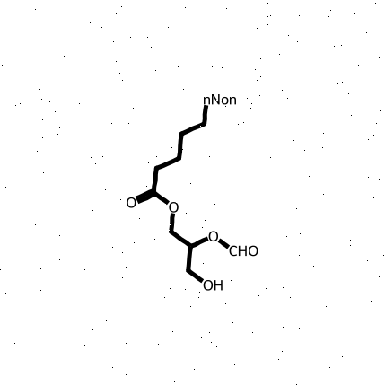 CCCCCCCCCCCCCC(=O)OCC(CO)OC=O